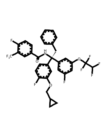 O=C(N[C@@](Cc1ccccc1)(c1cc(F)cc(OC(F)(F)C(F)F)c1)c1ccc(F)c(OCC2CC2)c1)c1ccc(F)c(C(F)(F)F)c1